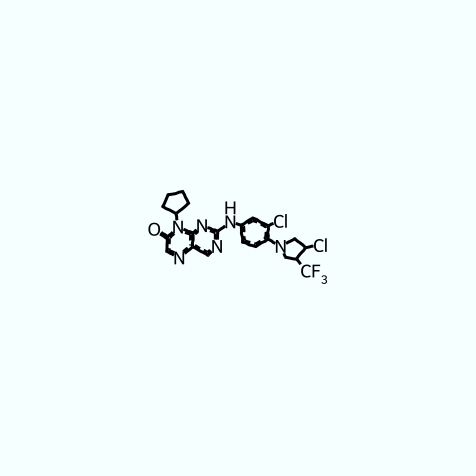 O=c1cnc2cnc(Nc3ccc(N4CC(Cl)C(C(F)(F)F)C4)c(Cl)c3)nc2n1C1CCCC1